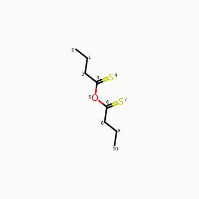 CCCC(=S)OC(=S)CCC